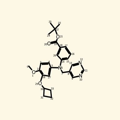 COc1ccc(N(Cc2cncnc2)c2cccc(C(=O)OC(C)(C)C)c2)cc1OC1CCC1